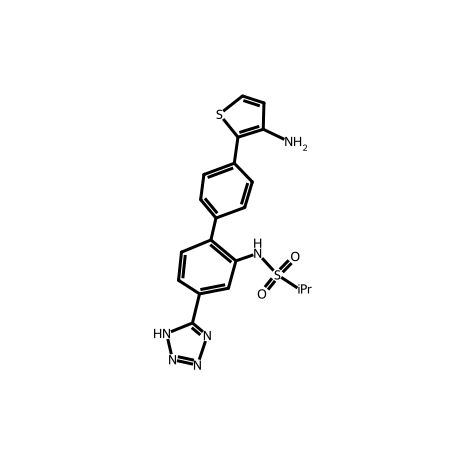 CC(C)S(=O)(=O)Nc1cc(-c2nnn[nH]2)ccc1-c1ccc(-c2sccc2N)cc1